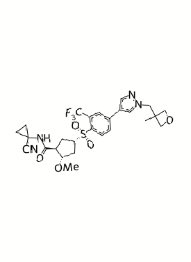 CO[C@H]1C[C@@H](S(=O)(=O)c2ccc(-c3cnn(CC4(C)COC4)c3)cc2C(F)(F)F)C[C@@H]1C(=O)NC1(C#N)CC1